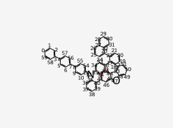 c1ccc(-c2ccc(-c3ccc(N(c4ccc(-c5ccccc5-c5cccc6ccccc56)cc4)c4ccccc4-c4ccc5c(c4)oc4ccccc45)cc3)cc2)cc1